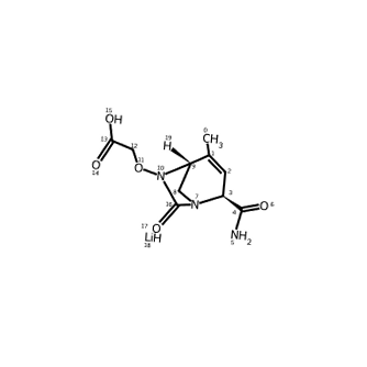 CC1=C[C@@H](C(N)=O)N2C[C@@H]1N(OCC(=O)O)C2=O.[LiH]